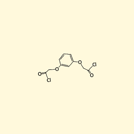 O=C(Cl)COc1cccc(OCC(=O)Cl)c1